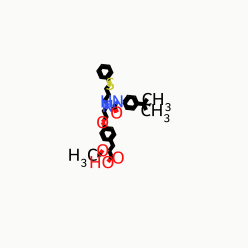 CCOC(Cc1ccc(OCCN(CCCSc2ccccc2)C(=O)Nc2ccc(C(C)C)cc2)cc1)C(=O)O